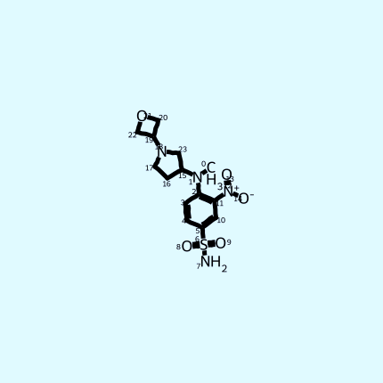 CN(c1ccc(S(N)(=O)=O)cc1[N+](=O)[O-])C1CCN(C2COC2)C1